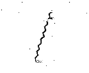 CCCCCCCCCCCCCCCCCCCCCCOC(=O)CCl